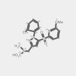 COc1cccc(S(=O)(=O)c2cc(CN(C)C(=O)O)nn2-c2ccccc2Cl)n1